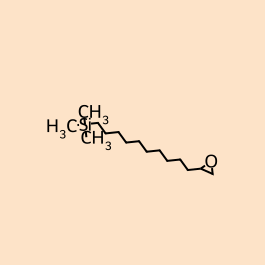 C[Si](C)(C)CCCCCCCCCCC1CO1